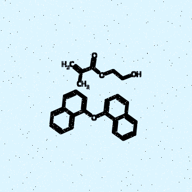 C=C(C)C(=O)OCCO.c1ccc2c(Oc3cccc4ccccc34)cccc2c1